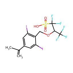 C=C(C)c1cc(I)c(COC(C(F)(F)F)C(F)(F)S(=O)(=O)O)c(I)c1